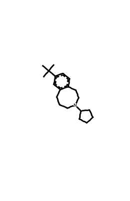 CC(C)(C)c1ccc2c(c1)CCCN(C1CCCC1)CC2